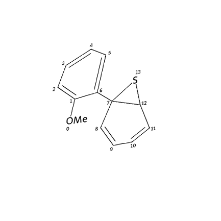 COc1ccccc1C12C=CC=CC1S2